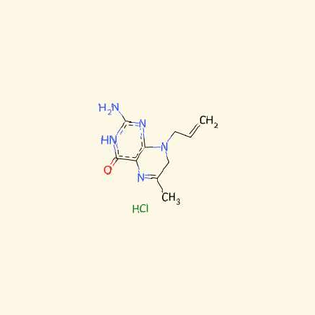 C=CCN1CC(C)=Nc2c1nc(N)[nH]c2=O.Cl